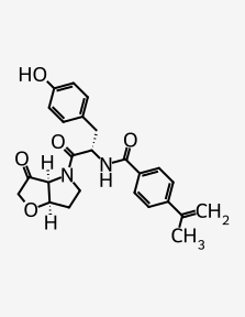 C=C(C)c1ccc(C(=O)N[C@@H](Cc2ccc(O)cc2)C(=O)N2CC[C@H]3OCC(=O)[C@H]32)cc1